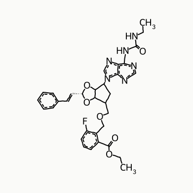 CCNC(=O)Nc1ncnc2c1ncn2C1CC(COCc2c(F)cccc2C(=O)OCC)C2O[C@H](/C=C/c3ccccc3)OC21